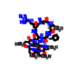 N=C(N)NCCCC1NC(=O)C(CCNC(=O)[C@H](CC(=O)O)NC(=O)[C@H](CC(=O)O)NC(=O)[C@H](CC(=O)O)NC(=O)[C@H](CC(=O)O)NC(=O)[C@@H](N)CC(=O)O)NC(=O)[C@@H](Cc2ccccc2)NC(=O)[C@H](CC(=O)O)NC(=O)CNC1=O